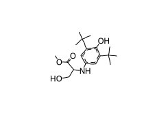 COC(=O)C(CO)Nc1cc(C(C)(C)C)c(O)c(C(C)(C)C)c1